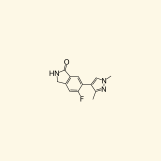 Cc1nn(C)cc1-c1cc2c(cc1F)CNC2=O